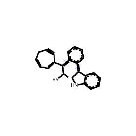 CC(S)/C(C1=CC=CCC#C1)=c1/cccc/c1=C1/CNc2ccccc21